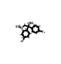 CCOCC(N)(c1ccc(F)cc1)c1ccc(F)cc1